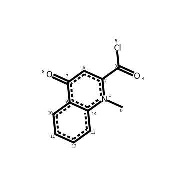 Cn1c(C(=O)Cl)cc(=O)c2ccccc21